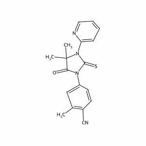 Cc1cc(N2C(=O)C(C)(C)N(c3ccccn3)C2=S)ccc1C#N